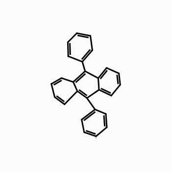 [c]1ccc(-c2c3ccccc3c(-c3ccccc3)c3ccccc23)cc1